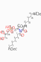 CCCCCCCCCCCCCCCCCC(=O)N(C(=O)CCCCCCCCCCCCCCCCC)C(COP(=O)(O)OCC(O)CO)C(=O)O